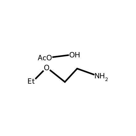 CC(=O)OO.CCOCCN